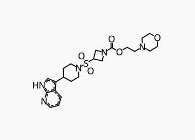 O=C(OCCN1CCOCC1)N1CC(S(=O)(=O)N2CCC(c3c[nH]c4ncccc34)CC2)C1